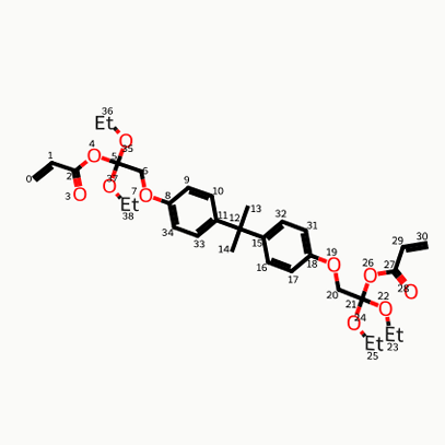 C=CC(=O)OC(COc1ccc(C(C)(C)c2ccc(OCC(OCC)(OCC)OC(=O)C=C)cc2)cc1)(OCC)OCC